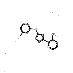 Cc1ccnc(Nc2nc(-c3ncccc3C(F)(F)F)ns2)c1